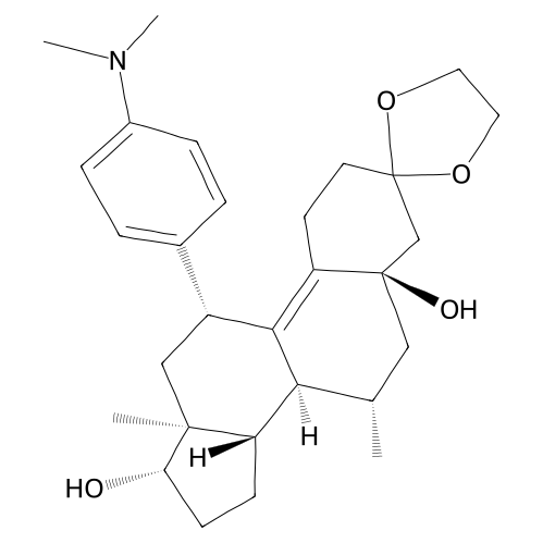 C[C@H]1C[C@@]2(O)CC3(CCC2=C2[C@@H]1[C@@H]1CC[C@H](O)[C@@]1(C)C[C@@H]2c1ccc(N(C)C)cc1)OCCO3